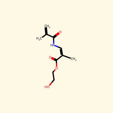 C=C(C)C(=O)NC=C(C)C(=O)OCCO